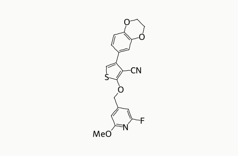 COc1cc(COc2scc(-c3ccc4c(c3)OCCO4)c2C#N)cc(F)n1